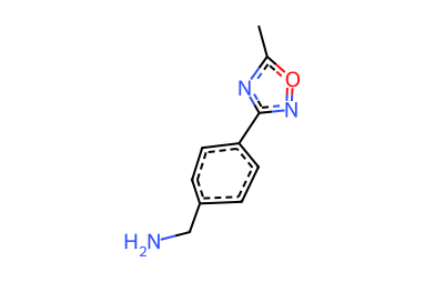 Cc1nc(-c2ccc(CN)cc2)no1